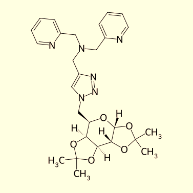 CC1(C)O[C@H]2[C@@H](O1)[C@@H](Cn1cc(CN(Cc3ccccn3)Cc3ccccn3)nn1)O[C@@H]1OC(C)(C)O[C@@H]12